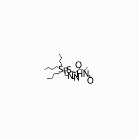 CCC[CH2][Sn]([CH2]CCC)([CH2]CCC)[c]1cn2cnc(C(=O)C(C)NC=O)c2s1